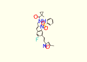 Cc1cc(/C=C/c2cc3c(cc2F)cc(CNC(=O)C2(C)CC2)n3S(=O)(=O)c2ccccc2)no1